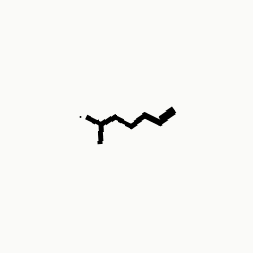 [CH2]C(C)CCCC=C